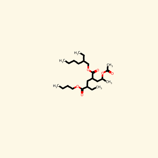 CCCCOC(=O)C(CC)CC(CC(C)OC(C)=O)C(=O)OCC(CC)CCCC